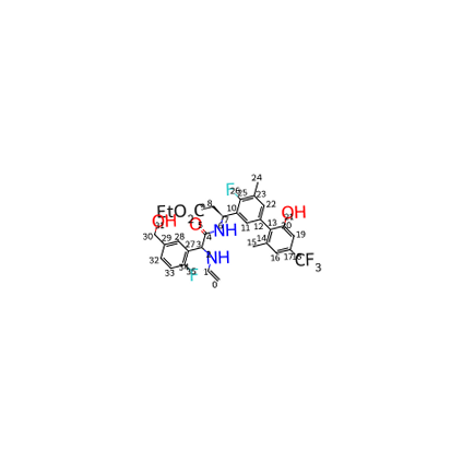 C=CNC(C(=O)N[C@@H](CC(=O)OCC)c1cc(-c2c(C)cc(C(F)(F)F)cc2O)cc(C)c1F)c1cc(CO)ccc1F